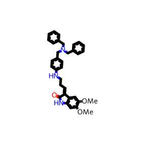 COc1cc2c(cc1OC)C(=CCCNc1ccc(CN(Cc3ccccc3)Cc3ccccc3)cc1)C(=O)N2